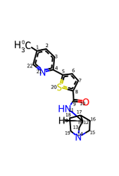 Cc1ccc(-c2ccc(C(=O)N[C@H]3CN4CCC3CC4)s2)nc1